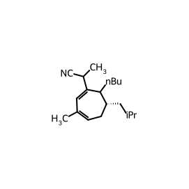 CCCCC1C(C(C)C#N)=CC(C)=CC[C@H]1CC(C)C